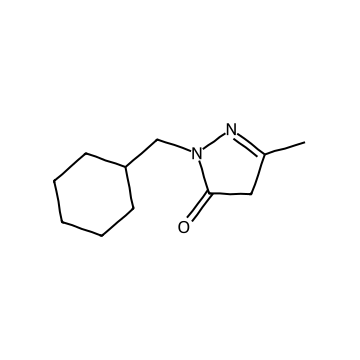 CC1=NN(CC2CCCCC2)C(=O)C1